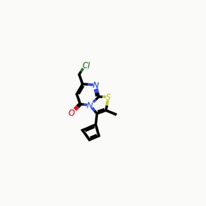 Cc1sc2nc(CCl)cc(=O)n2c1C1=CC=C1